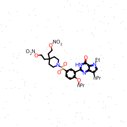 CCCOc1ccc(S(=O)(=O)N2CCC(CCO[N+](=O)[O-])(CCO[N+](=O)[O-])CC2)cc1-c1nc2c(CCC)cn(CC)c2c(=O)[nH]1